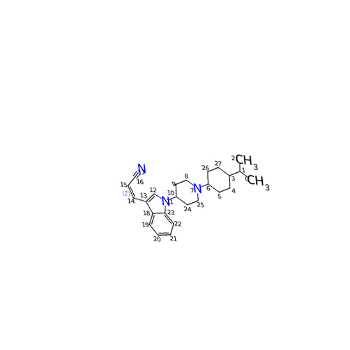 CC(C)C1CCC(N2CCC(n3cc(/C=C\C#N)c4ccccc43)CC2)CC1